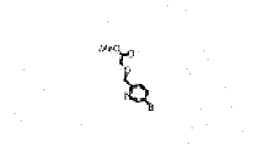 COC(=O)COCc1ccc(Br)cn1